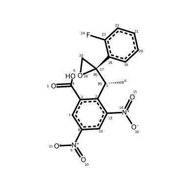 C[C@H](c1c(C(=O)O)cc([N+](=O)[O-])cc1[N+](=O)[O-])[C@@]1(c2ccccc2F)CO1